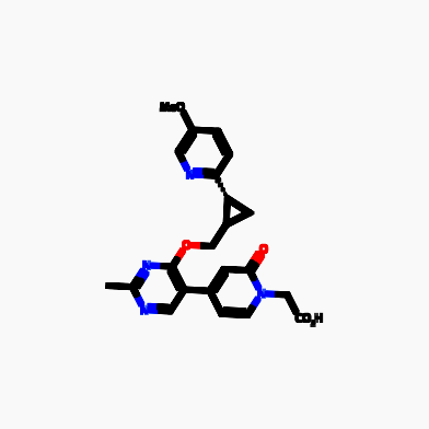 COc1ccc([C@@H]2CC2COc2nc(C)ncc2-c2ccn(CC(=O)O)c(=O)c2)nc1